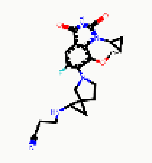 COc1c(N2CCC3(CC3NCCC#N)C2)c(F)cc2c(=O)[nH]c(=O)n(C3CC3)c12